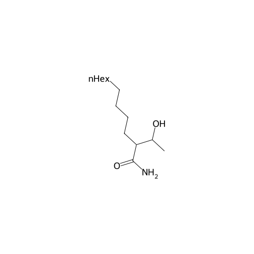 CCCCCCCCCCC(C(N)=O)C(C)O